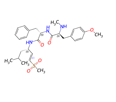 CN[C@@H](Cc1ccc(OC)cc1)C(=O)N[C@@H](Cc1ccccc1)C(=O)N[C@H](/C=C/S(C)(=O)=O)CC(C)C